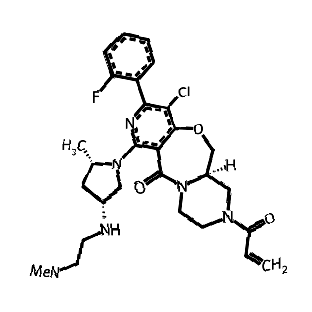 C=CC(=O)N1CCN2C(=O)c3c(N4C[C@H](NCCNC)C[C@@H]4C)nc(-c4ccccc4F)c(Cl)c3OC[C@H]2C1